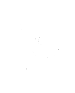 O=c1c2c(n(CCO)n1Cc1ccc(Cl)cc1)CCNC2